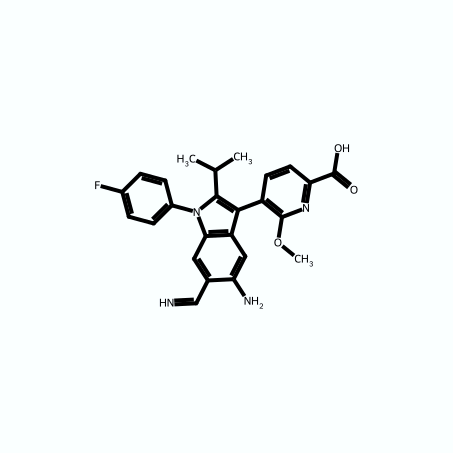 COc1nc(C(=O)O)ccc1-c1c(C(C)C)n(-c2ccc(F)cc2)c2cc(C=N)c(N)cc12